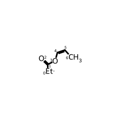 C[CH]C(=O)O/C=C\C